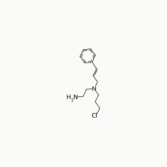 NCCN(CC=Cc1ccccc1)CCCCl